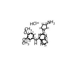 COc1ccc(Nc2nc(N3CCC(N)C3)nc3scnc23)cc1OC.Cl